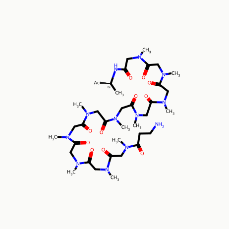 CC(=O)[C@H](C)NC(=O)CN(C)C(=O)CN(C)C(=O)CN(C)C(=O)CN(C)C(=O)CN(C)C(=O)CN(C)C(=O)CN(C)C(=O)CN(C)C(=O)CN(C)C(=O)CN(C)C(=O)CCN